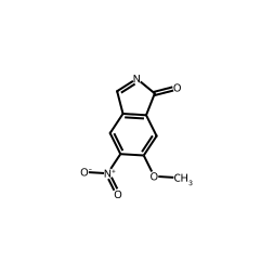 COc1cc2c(cc1[N+](=O)[O-])C=NC2=O